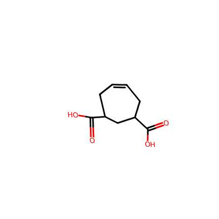 O=C(O)C1CC=CCC(C(=O)O)C1